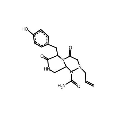 C=CCN1CC(=O)N2C(Cc3ccc(O)cc3)C(=O)NCC2N1C(N)=O